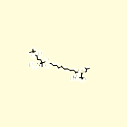 CC(C)C[C@H](NC(=O)CCCCCCCCCOC(=O)C(C)(N)CCC(=O)OC(C)(C)C)C(=O)O